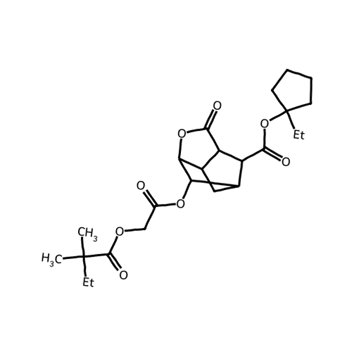 CCC1(OC(=O)C2C3CC4C(OC(=O)C42)C3OC(=O)COC(=O)C(C)(C)CC)CCCC1